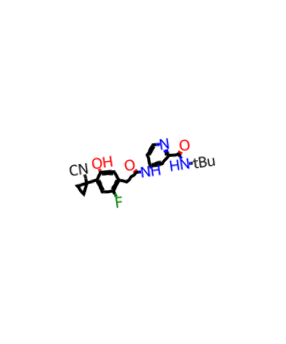 CC(C)(C)NC(=O)c1cc(NC(=O)Cc2cc(O)c(C3(C#N)CC3)cc2F)ccn1